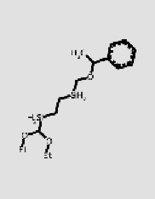 CCOC(OCC)[SiH2]CC[SiH2]COC(C)c1ccccc1